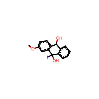 COc1ccc2c(c1)C(O)(I)c1ccccc1C2O